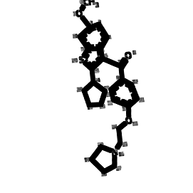 COc1ccc2c(C(=O)c3ccc(OCCN4CCCC4)cc3)c(C3CCCC3)sc2c1